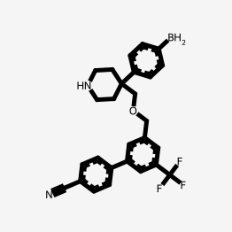 Bc1ccc(C2(COCc3cc(-c4ccc(C#N)cc4)cc(C(F)(F)F)c3)CCNCC2)cc1